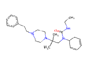 CCNC(=O)N(CC(C)(C)N1CCN(CCc2ccccc2)CC1)C1C=CC=CC1